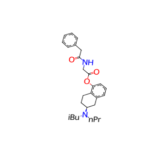 CCCN([C@H]1CCc2c(cccc2OC(=O)CNC(=O)Cc2ccccc2)C1)[C@@H](C)CC